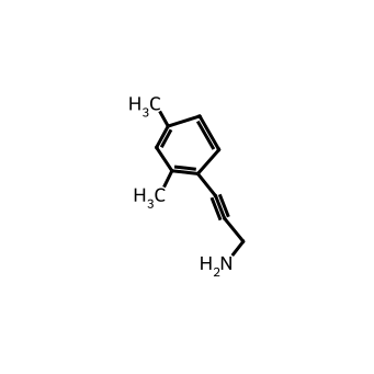 Cc1ccc(C#CCN)c(C)c1